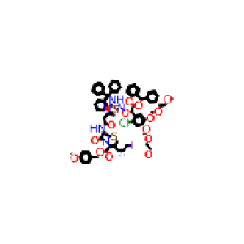 COCCOCOc1cc(Cl)c(C(ON=S2C=C(CC(=O)N[C@@H]3C(=O)N4C(C(=O)OCc5ccc(OC)cc5)=C(/C=C\CI)CSC34)N=C2NC(c2ccccc2)(c2ccccc2)c2ccccc2)C(=O)OC(c2ccccc2)c2ccccc2)cc1OCOCCOC